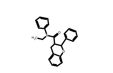 CCN(C(=O)C1Cc2ccccc2OC1c1ccccc1)c1ccccc1